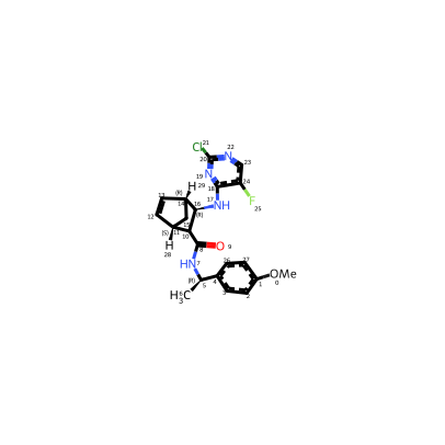 COc1ccc([C@@H](C)NC(=O)C2[C@@H]3C=C[C@@H](C3)[C@H]2Nc2nc(Cl)ncc2F)cc1